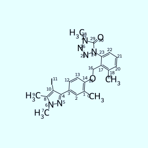 Cc1cc(-c2nn(C)c(C)c2I)ccc1OCc1c(C)cccc1-n1nnn(C)c1=O